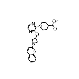 COC(=O)C1CCN(c2nccnc2OC2CN(c3ccc4ccccc4n3)C2)CC1